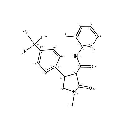 Cc1cccnc1NC(=O)C1C(=O)N(C)CC1c1ccc(C(F)(F)F)cc1